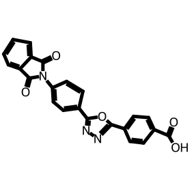 O=C(O)c1ccc(-c2nnc(-c3ccc(N4C(=O)c5ccccc5C4=O)cc3)o2)cc1